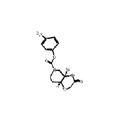 O=C1CO[C@@H]2CCN(C(=O)Oc3ccc([N+](=O)[O-])cc3)C[C@@H]2N1